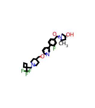 C[C@H]1C[C@@H](O)CN1C(=O)c1ccc(-c2ccc(OCC3CCN(CC4(C(F)(F)F)CCC4)CC3)nc2)c(F)c1